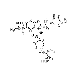 CC(C)N[C@H]1CC[C@H](C(=O)Nc2c(C(=O)Nc3ccc(Cl)cn3)oc3ccc(C(=O)N(C)C)cc23)CC1.Cl